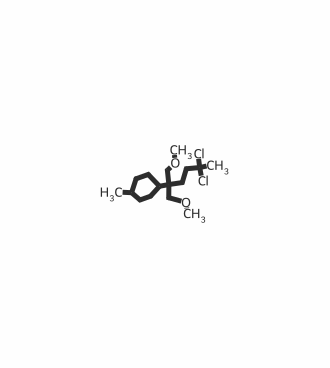 COCC(CCC(C)(Cl)Cl)(COC)C1CCC(C)CC1